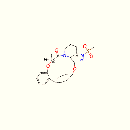 C[C@@H]1Oc2ccccc2C2CCC(CC2)OCC2[C@@H](NS(C)(=O)=O)CCCN2C1=O